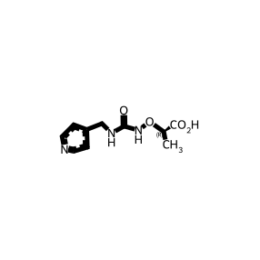 C[C@@H](ONC(=O)NCc1ccncc1)C(=O)O